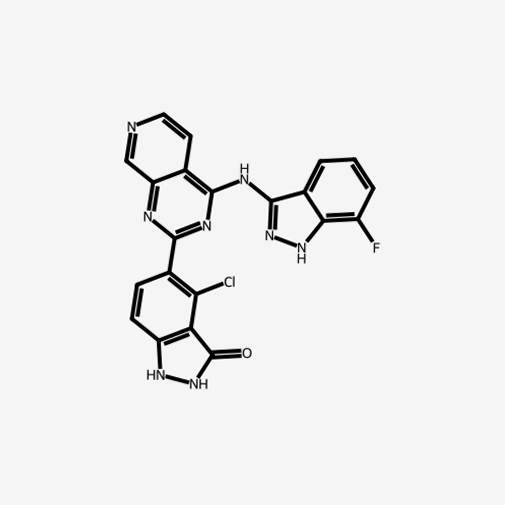 O=c1[nH][nH]c2ccc(-c3nc(Nc4n[nH]c5c(F)cccc45)c4ccncc4n3)c(Cl)c12